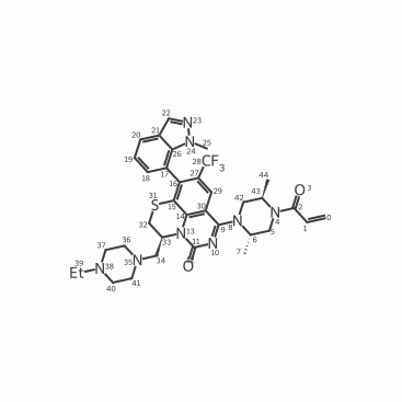 C=CC(=O)N1C[C@H](C)N(c2nc(=O)n3c4c(c(-c5cccc6cnn(C)c56)c(C(F)(F)F)cc24)SC[C@@H]3CN2CCN(CC)CC2)C[C@H]1C